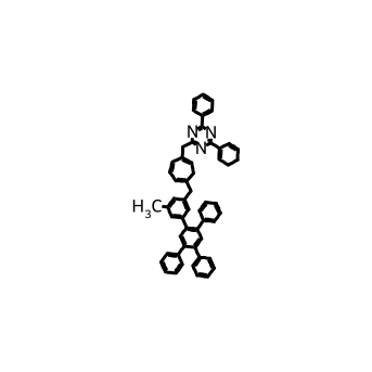 Cc1cc(CC2=CC=CC(Cc3nc(C4=CCCC=C4)nc(-c4ccccc4)n3)=CC2)cc(-c2cc(-c3ccccc3)c(-c3ccccc3)cc2-c2ccccc2)c1